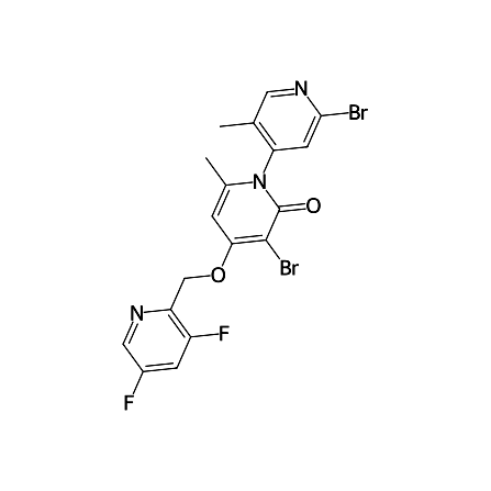 Cc1cnc(Br)cc1-n1c(C)cc(OCc2ncc(F)cc2F)c(Br)c1=O